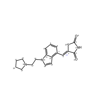 O=C1NC(=O)/C(=C/c2cccc3c2ccn3CCN2CCCC2)S1